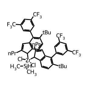 CCCC1=Cc2c(ccc(C(C)(C)C)c2-c2cc(C(F)(F)F)cc(C(F)(F)F)c2)[CH]1[Zr]([Cl])([Cl])([CH]1C(CCC)=Cc2c1ccc(C(C)(C)C)c2-c1cc(C(F)(F)F)cc(C(F)(F)F)c1)[SiH](C)C